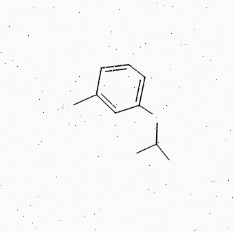 CCCc1c[c]cc(OC(F)F)c1